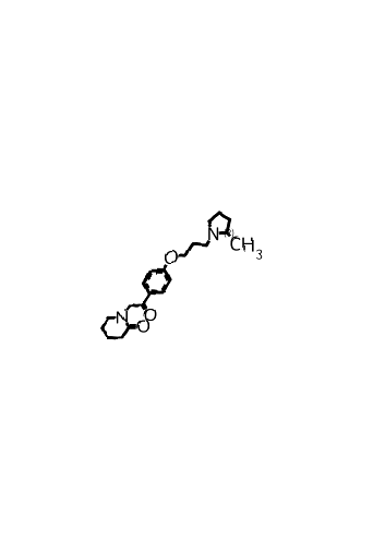 C[C@@H]1CCCN1CCCOc1ccc(C(=O)CN2CCCCC2=O)cc1